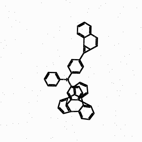 C1=CC2C(c3ccc(N(c4ccccc4)c4ccc5c(c4)-c4c6cccc4-c4cccc-5c4-c4ccccc4-6)cc3)=C2c2ccccc21